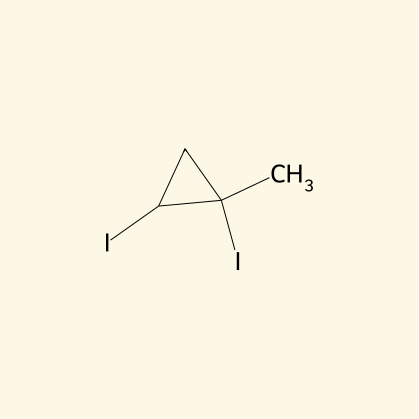 CC1(I)CC1I